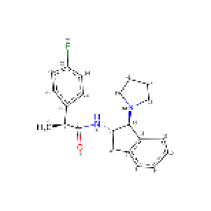 C[C@H](C(=O)N[C@H]1Cc2ccccc2[C@@H]1N1CCCC1)c1ccc(F)cc1